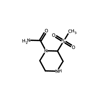 CS(=O)(=O)C1CNCCN1C(N)=O